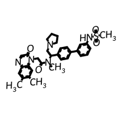 Cc1cc2ncc(=O)n(CC(=O)N(C)C(CN3CCCC3)c3ccc(-c4cccc(NS(C)(=O)=O)c4)cc3)c2cc1C